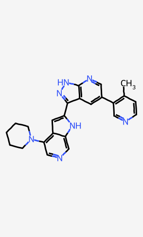 Cc1ccncc1-c1cnc2[nH]nc(-c3cc4c(N5CCCCC5)cncc4[nH]3)c2c1